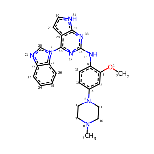 COc1cc(N2CCN(C)CC2)ccc1Nc1nc(-n2cnc3ccccc32)c2cc[nH]c2n1